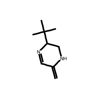 C=C1C=NC(C(C)(C)C)CN1